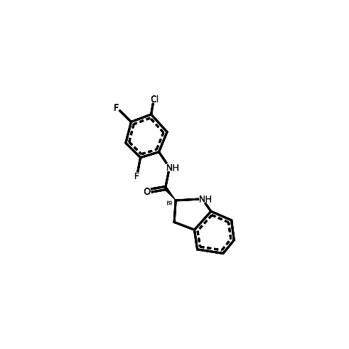 O=C(Nc1cc(Cl)c(F)cc1F)[C@@H]1Cc2ccccc2N1